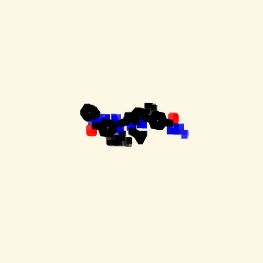 CCc1cc(C(N)=O)ccc1-c1ccc2cc(-c3nc4cc(C(=O)N5CC6CCC5C6N)cc(OC)c4n3C)n(CC3CC3)c2n1